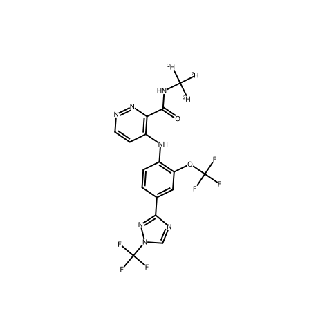 [2H]C([2H])([2H])NC(=O)c1nnccc1Nc1ccc(-c2ncn(C(F)(F)F)n2)cc1OC(F)(F)F